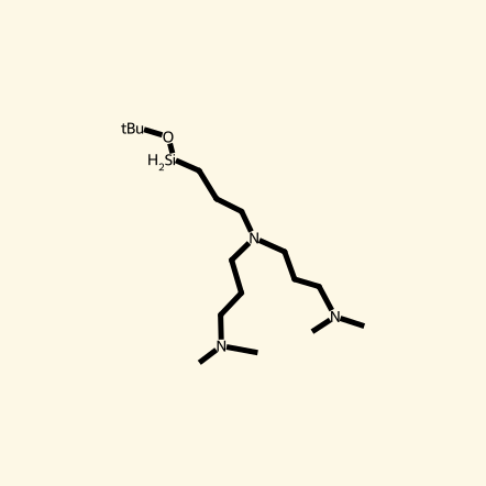 CN(C)CCCN(CCC[SiH2]OC(C)(C)C)CCCN(C)C